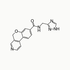 O=C(NCc1nc[nH]n1)c1ccc2c(c1)OCc1cnccc1-2